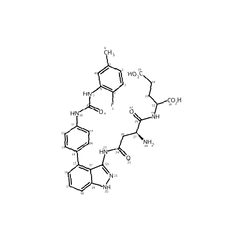 Cc1ccc(F)c(NC(=O)Nc2ccc(-c3cccc4[nH]nc(NC(=O)C[C@H](N)C(=O)NC(CCC(=O)O)C(=O)O)c34)cc2)c1